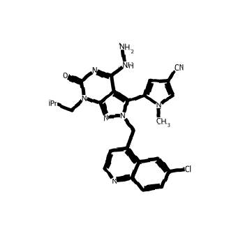 CC(C)Cn1c(=O)nc(NN)c2c(-c3cc(C#N)cn3C)n(Cc3ccnc4ccc(Cl)cc34)nc21